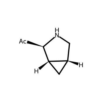 CC(=O)[C@H]1NC[C@@H]2C[C@@H]21